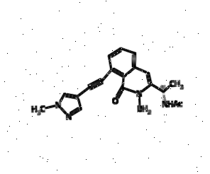 Bn1c([C@H](C)NC(C)=O)cc2cccc(C#Cc3cnn(C)c3)c2c1=O